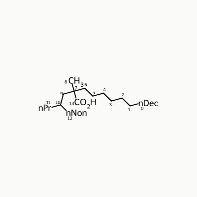 CCCCCCCCCCCCCCCCC(C)(CC(CCC)CCCCCCCCC)C(=O)O